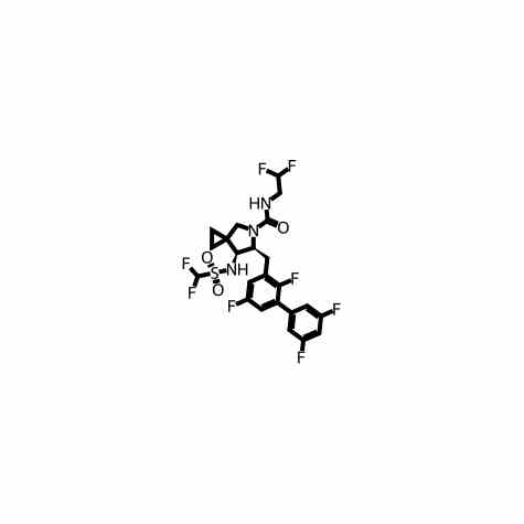 O=C(NCC(F)F)N1CC2(CC2)[C@H](NS(=O)(=O)C(F)F)[C@@H]1Cc1cc(F)cc(-c2cc(F)cc(F)c2)c1F